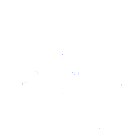 CC(C)N1C(=O)[C@@H](NC(=O)c2cc(Cl)cc(Cl)c2)N=C(c2ccccc2)c2ccccc21